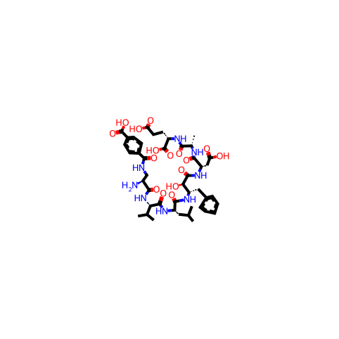 CC(C)C[C@H](NC(=O)[C@@H](NC(=O)[C@@H](N)CNC(=O)c1ccc(C(=O)O)cc1)C(C)C)C(=O)N[C@@H](Cc1ccccc1)[C@@H](O)C(=O)N[C@@H](CC(=O)O)C(=O)N[C@@H](C)C(=O)N[C@@H](CCC(=O)O)C(=O)O